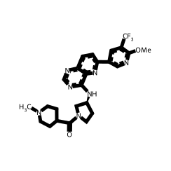 COc1ncc(-c2ccc3ncnc(N[C@H]4CCN(C(=O)C5CCN(C)CC5)C4)c3n2)cc1C(F)(F)F